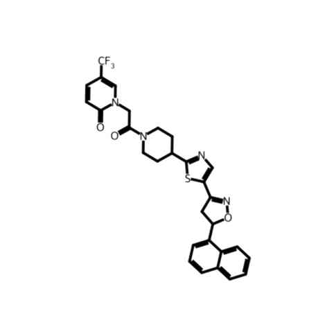 O=C(Cn1cc(C(F)(F)F)ccc1=O)N1CCC(c2ncc(C3=NOC(c4cccc5ccccc45)C3)s2)CC1